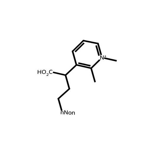 CCCCCCCCCCCC(C(=O)O)c1ccc[n+](C)c1C